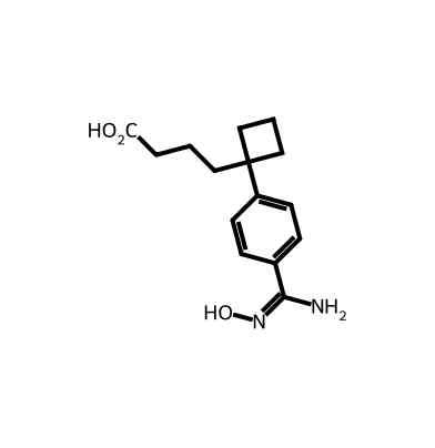 N/C(=N/O)c1ccc(C2(CCCC(=O)O)CCC2)cc1